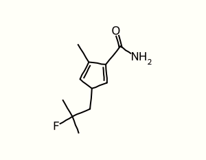 CC1=CC(CC(C)(C)F)C=C1C(N)=O